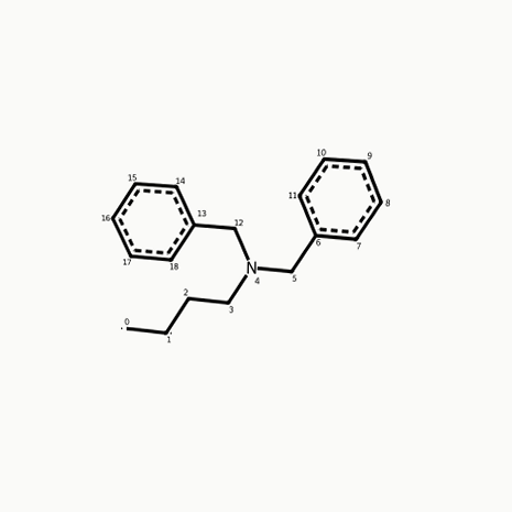 [CH2][CH]CCN(Cc1ccccc1)Cc1ccccc1